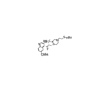 CCCCSCCN1CC[C@H](CC[C@H](F)c2c(Cl)cnc3ccc(OC)cc23)[C@H](C(=O)O)C1